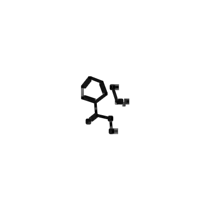 O=C(OO)c1ccccc1.O=S(=O)(O)O